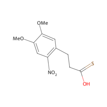 COc1cc(CCC(O)=S)c([N+](=O)[O-])cc1OC